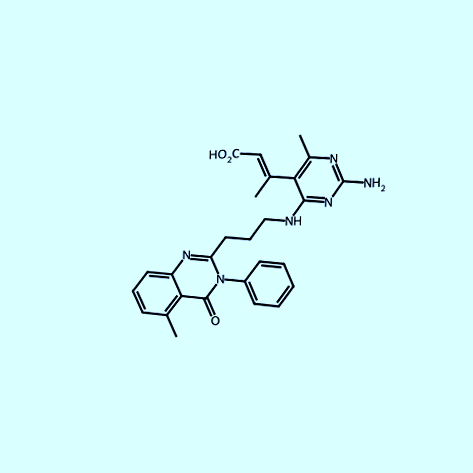 C/C(=C\C(=O)O)c1c(C)nc(N)nc1NCCCc1nc2cccc(C)c2c(=O)n1-c1ccccc1